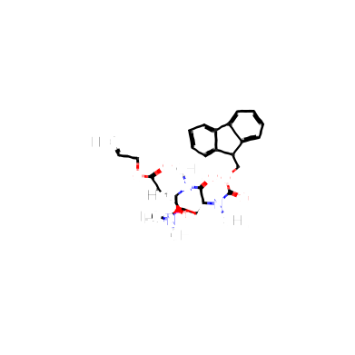 C=CCOC(=O)C[C@@H](C(=O)N(C)C)N(C)C(=O)[C@H](CC(C)C)N(C)C(=O)OCC1c2ccccc2-c2ccccc21